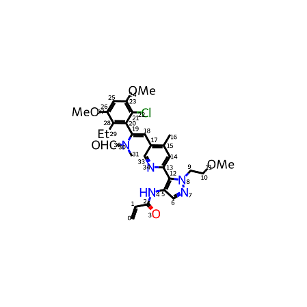 C=CC(=O)Nc1cnn(CCOC)c1-c1cc(C)c(/C=C(/c2c(Cl)c(OC)cc(OC)c2CC)N(C)C=O)cn1